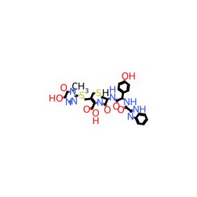 Cn1c(SCC2=C(C(=O)O)N3C(=O)C(NC(=O)C(NC(=O)c4nc5ccccc5[nH]4)c4ccc(O)cc4)[C@@H]3SC2)nnc(O)c1=O